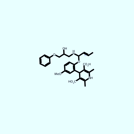 C/C=C/C(NCC(O)COc1ccccc1)Oc1ccc(OC)cc1C1C(C(=O)O)=C(C)NC(C)=C1C(=O)O